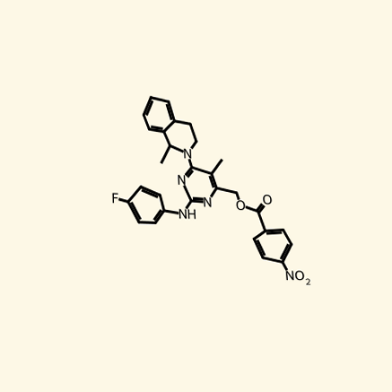 Cc1c(COC(=O)c2ccc([N+](=O)[O-])cc2)nc(Nc2ccc(F)cc2)nc1N1CCc2ccccc2C1C